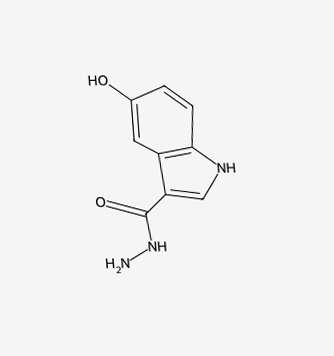 NNC(=O)c1c[nH]c2ccc(O)cc12